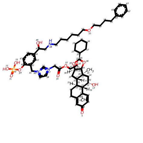 C[C@]12C=CC(=O)C=C1CC[C@@H]1[C@@H]2[C@@H](O)C[C@@]2(C)[C@H]1C[C@H]1O[C@@H](C3CCCCC3)O[C@]12C(=O)COC(=O)Cn1cc[n+](Cc2cc(C(O)CNCCCCCCOCCCCc3ccccc3)ccc2OP(=O)(O)O)c1